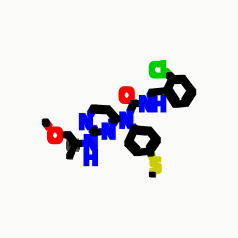 COC[C@H](C)Nc1nccc(N(C(=O)NCc2ccccc2Cl)c2ccc(SC)cc2)n1